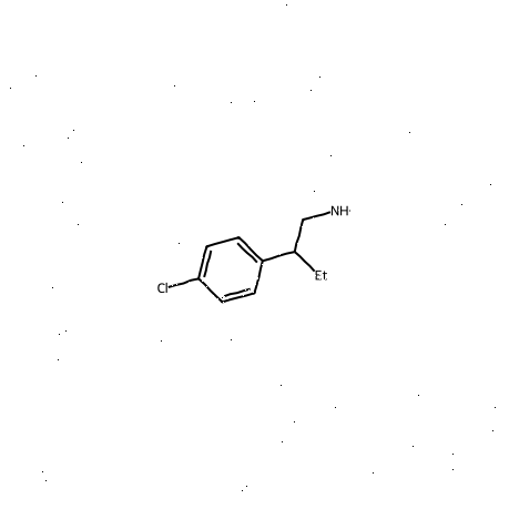 [CH2]CC(C[NH])c1ccc(Cl)cc1